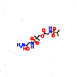 CC(C)S(=O)(=O)NCC(=O)OCC(C)(C)S(=O)(=O)NCC(N)O